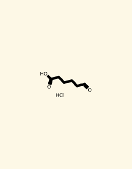 Cl.O=CCCCCC(=O)O